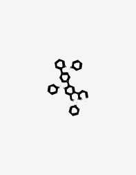 c1ccc(-n2c3ccccc3c3cc4c(cc32)c2cc3c5cccnc5n5c6ccccc6nc5c3cc2n4-c2ccccc2)cc1